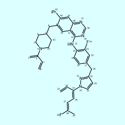 C=CC(=C)N1CCC(Cc2cc3c(Nc4ccc(Cc5ccn(/C(C=C)=C/C=C(\C)F)n5)cc4F)ncnc3cc2C(C)C)CC1